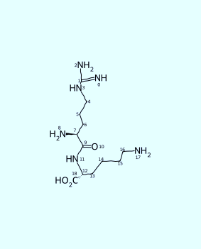 N=C(N)NCCC[C@H](N)C(=O)N[C@H](CCCCN)C(=O)O